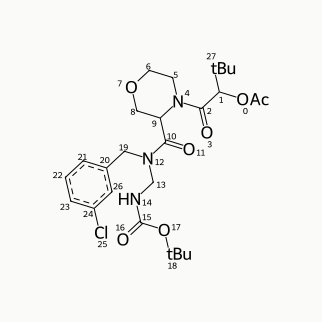 CC(=O)OC(C(=O)N1CCOCC1C(=O)N(CNC(=O)OC(C)(C)C)Cc1cccc(Cl)c1)C(C)(C)C